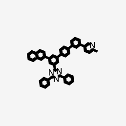 Cc1ccc(-c2cccc(-c3ccc(-c4cc(-c5ccc6ccccc6c5)cc(-c5nc(-c6ccccc6)nc(-c6ccccc6)n5)c4)cc3)c2)cn1